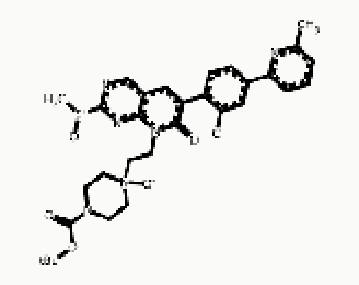 Cc1cccc(-c2ccc(-c3cc4cnc([S+](C)[O-])nc4n(CC[N+]4([O-])CCN(C(=O)OC(C)(C)C)CC4)c3=O)c(Cl)c2)n1